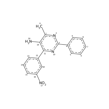 Cc1nc(-c2ccccc2)nc(-c2cccc([N+](=O)[O-])c2)c1N